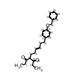 CCC(=O)C(CCC=CCCc1ccc(OCc2ccccc2)cc1)C(=O)CC